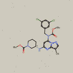 CC(C)(C)OC(=O)N1CCC[C@H](Nc2cc(N(Cc3cc(Cl)cc(Cl)c3)C(=O)OC(C)(C)C)n3ncc(C#N)c3n2)C1